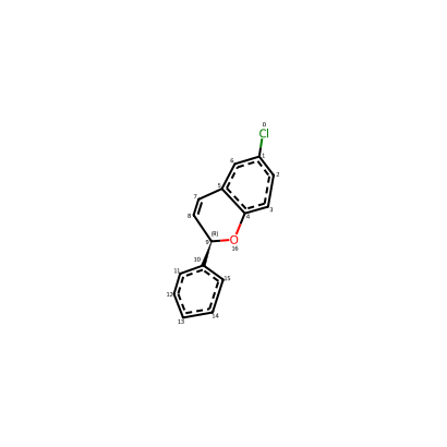 Clc1ccc2c(c1)C=C[C@H](c1ccccc1)O2